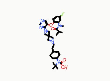 CC(C)C(=O)N(C)c1cc(F)ccc1Oc1cncnc1N1CC2(CN(CCC3CCC(N(C(=O)O)C(C)(C)C)CC3)C2)C1